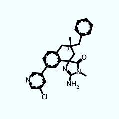 CN1C(=O)C2(C[C@@](C)(Cc3ccccc3)Cc3ccc(-c4cncc(Cl)c4)cc32)N=C1N